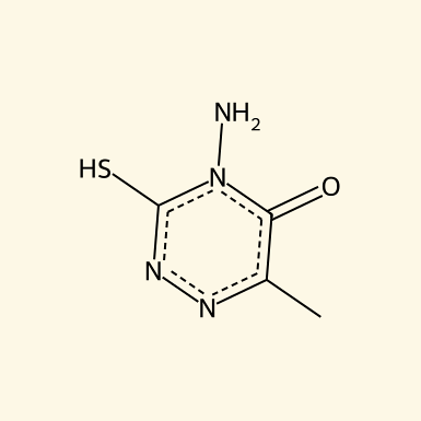 Cc1nnc(S)n(N)c1=O